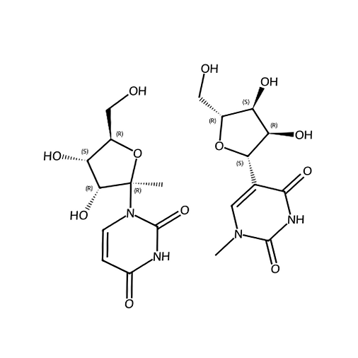 C[C@@]1(n2ccc(=O)[nH]c2=O)O[C@H](CO)[C@@H](O)[C@H]1O.Cn1cc([C@@H]2O[C@H](CO)[C@@H](O)[C@H]2O)c(=O)[nH]c1=O